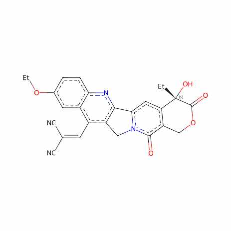 CCOc1ccc2nc3c(c(C=C(C#N)C#N)c2c1)Cn1c-3cc2c(c1=O)COC(=O)[C@]2(O)CC